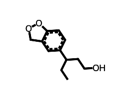 CCC(CCO)c1ccc2c(c1)COO2